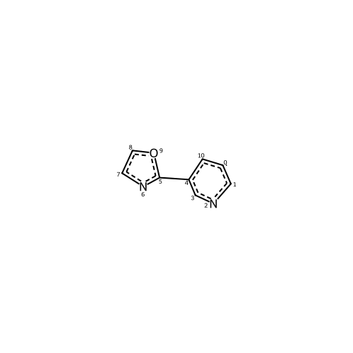 [c]1cncc(-c2ncco2)c1